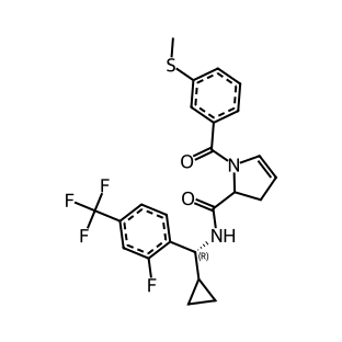 CSc1cccc(C(=O)N2C=CCC2C(=O)N[C@@H](c2ccc(C(F)(F)F)cc2F)C2CC2)c1